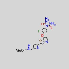 COCCNCc1ccc(-c2cc3nccc(Oc4ccc(N(C(N)=O)C(N)=O)cc4F)c3s2)nc1